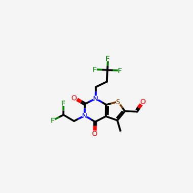 Cc1c(C=O)sc2c1c(=O)n(CC(F)F)c(=O)n2CCC(F)(F)F